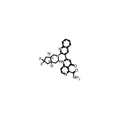 NC(=O)c1nccc2[nH]c(-c3cc4ccccc4nc3N3CC[C@@H]4CC(F)(F)C[C@H]4C3)cc(=O)c12